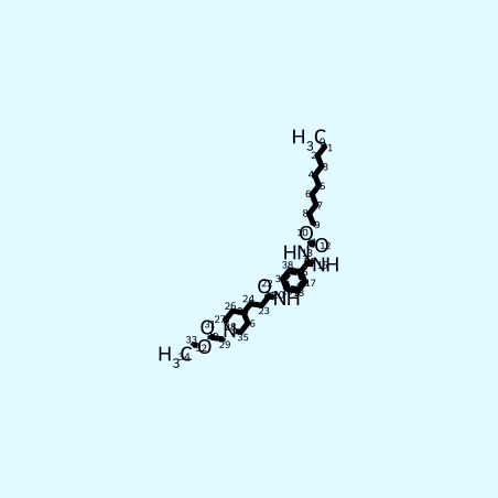 CCCCCCCCCCOC(=O)NC(=N)c1ccc(NC(=O)CCC2CCN(CC(=O)OCC)CC2)cc1